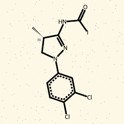 C[C@H]1CN(c2ccc(Cl)c(Cl)c2)N=C1NC(=O)I